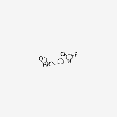 Fc1cnc([C@H]2CC[C@@H](CCNC3CCOCC3)CC2)c(Cl)c1